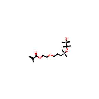 C=C(C)C(=O)OCCOCCC[Si](C)(C)OC(C)(C)[Si](C)(C)O